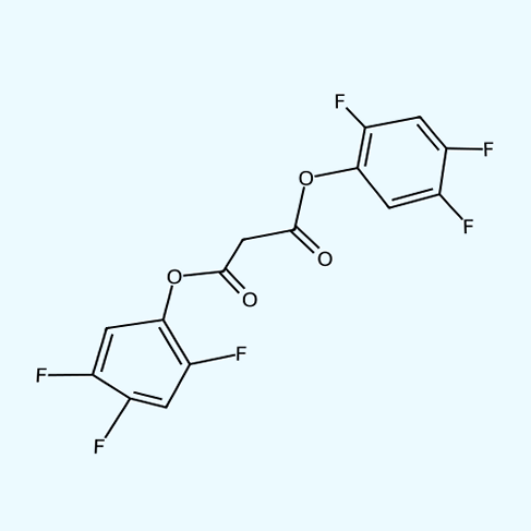 O=C(CC(=O)Oc1cc(F)c(F)cc1F)Oc1cc(F)c(F)cc1F